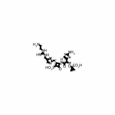 N=C(NCCN)NCc1cnn(C[C@H]2C(S(=O)(=O)O)C(=O)[C@H]2NC(=O)/C(=N\OC2(C(=O)O)CC2)c2csc(N)n2)n1